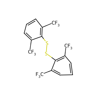 FC(F)(F)c1cccc(C(F)(F)F)c1SSc1c(C(F)(F)F)cccc1C(F)(F)F